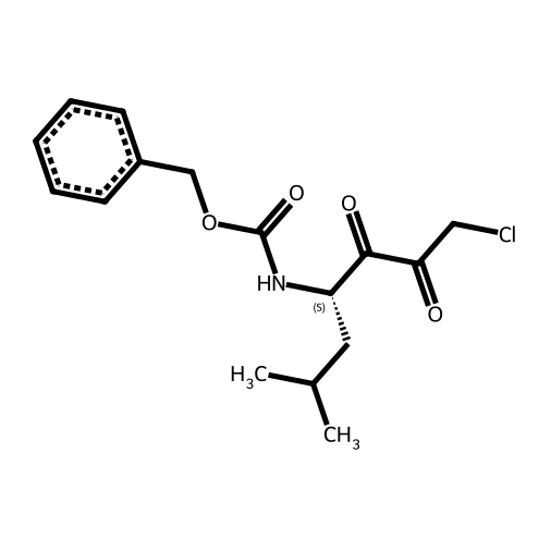 CC(C)C[C@H](NC(=O)OCc1ccccc1)C(=O)C(=O)CCl